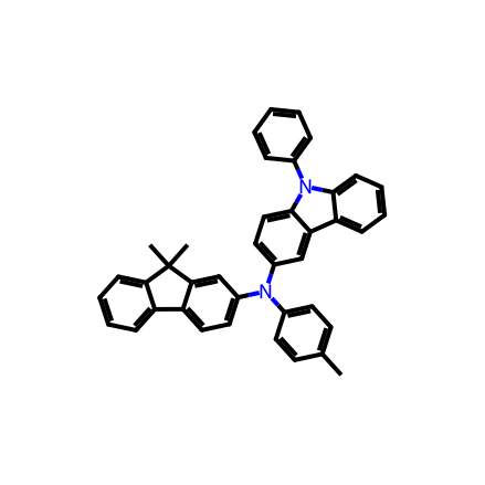 Cc1ccc(N(c2ccc3c(c2)C(C)(C)c2ccccc2-3)c2ccc3c(c2)c2ccccc2n3-c2ccccc2)cc1